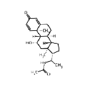 CC(=O)NC(C)[C@H]1CC[C@H]2[C@@H]3CCC4=CC(=O)C=C[C@]4(C)[C@H]3[C@@H](O)C[C@]12C